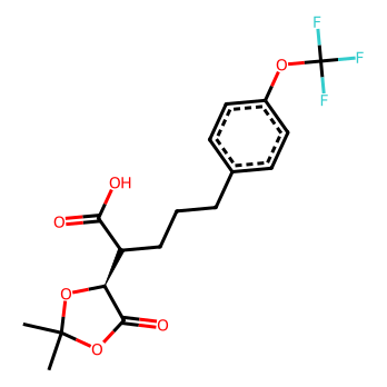 CC1(C)OC(=O)[C@H](C(CCCc2ccc(OC(F)(F)F)cc2)C(=O)O)O1